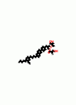 C=C(CO)C(=C)OCC(COC(=O)C(=C)CO)Cc1ccc(-c2ccc3cc(CCCCc4ccc(CCCCC)c(CC)c4)ccc3c2)cc1